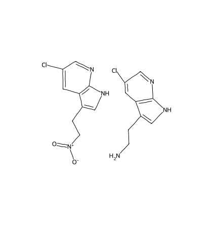 NCCc1c[nH]c2ncc(Cl)cc12.O=[N+]([O-])CCc1c[nH]c2ncc(Cl)cc12